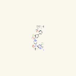 C=C/C(Cl)=C\C1=C(N)SC(C)(C)C(=O)N1C1CCN(C(=O)c2ccc(-c3ccccc3O[C@H](C)CC(=O)O)cc2F)CC1